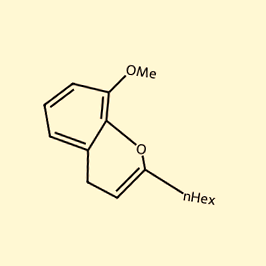 CCCCCCC1=CCc2cccc(OC)c2O1